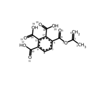 C=C(C)OC(=O)c1ccc(C(=O)O)c(C(=O)O)c1C(=O)O